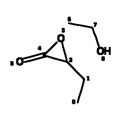 CCC1OC1=O.CCO